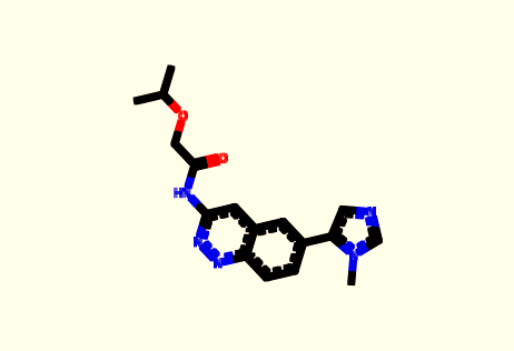 CC(C)OCC(=O)Nc1cc2cc(-c3cncn3C)ccc2nn1